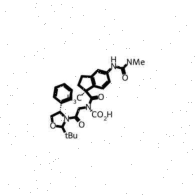 CNC(=O)Nc1ccc2c(c1)CC[C@]2(C)C(=O)N(CC(=O)N1C(C(C)(C)C)OC[C@@H]1c1ccccc1)C(=O)O